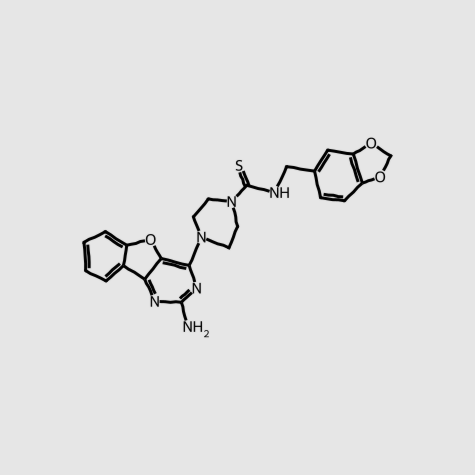 Nc1nc(N2CCN(C(=S)NCc3ccc4c(c3)OCO4)CC2)c2oc3ccccc3c2n1